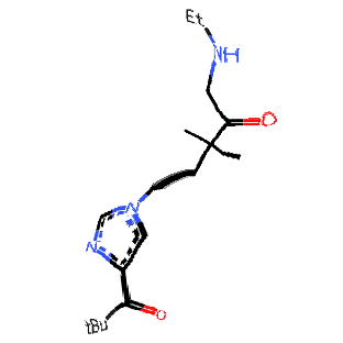 CCNCC(=O)C(C)(C)CCn1cnc(C(=O)C(C)(C)C)c1